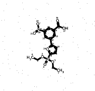 CCOP(=O)(OCC)c1ccc(-c2cc(C(=O)O)cc([N+](=O)[O-])c2)o1